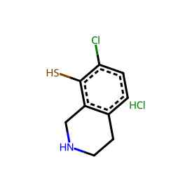 Cl.Sc1c(Cl)ccc2c1CNCC2